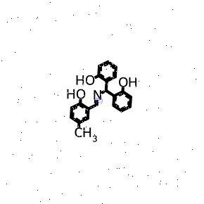 Cc1ccc(O)c(/C=N/C(c2ccccc2O)c2ccccc2O)c1